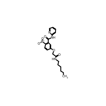 CCCCCCNC(=O)COc1ccc([N+](=O)[O-])c(C(=O)Nc2ccccn2)c1